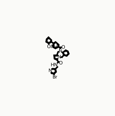 COc1ccccc1-c1ccc(C(=O)N2Cc3ccc(C(=O)NCc4cncc(Br)c4)n3Cc3ccccc32)cc1